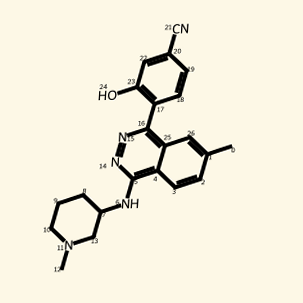 Cc1ccc2c(NC3CCCN(C)C3)nnc(-c3ccc(C#N)cc3O)c2c1